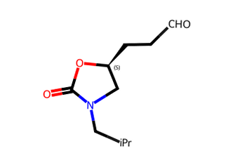 CC(C)CN1C[C@H](CCC=O)OC1=O